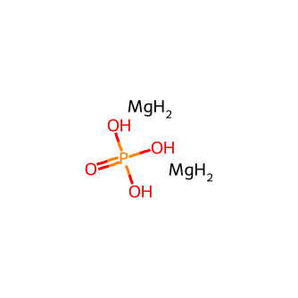 O=P(O)(O)O.[MgH2].[MgH2]